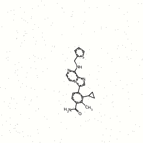 Cc1c(C(N)=O)ccc(-c2cnc3c(NCc4cccs4)nccn23)c1C1CC1